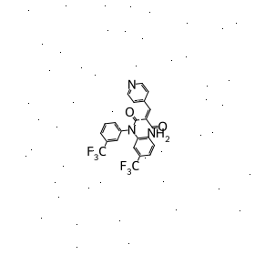 NC(=O)C(=Cc1ccncc1)C(=O)N(c1cccc(C(F)(F)F)c1)c1cccc(C(F)(F)F)c1